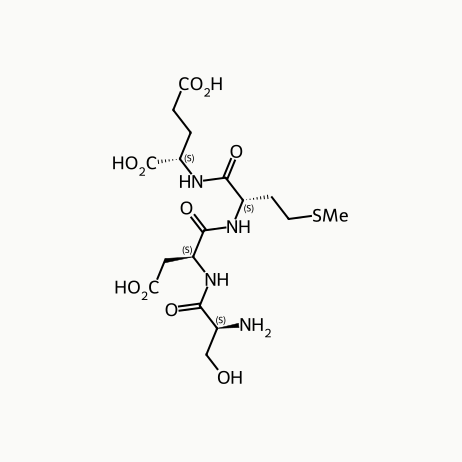 CSCC[C@H](NC(=O)[C@H](CC(=O)O)NC(=O)[C@@H](N)CO)C(=O)N[C@@H](CCC(=O)O)C(=O)O